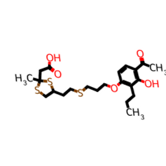 CCCc1c(OCCCSCCC2CSC(C)(CC(=O)O)S2)ccc(C(C)=O)c1O